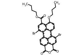 CCCCOC(=O)c1cc(Br)c2c3ccc4c5c(cc(Br)c(c6ccc(OCCCC)c1c62)c53)C(=O)OC4=O